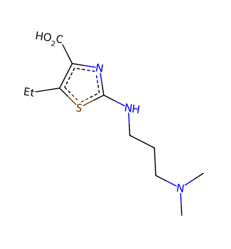 CCc1sc(NCCCN(C)C)nc1C(=O)O